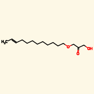 CC=CCCCCCCCCCOCC(=O)CO